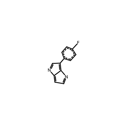 Fc1ccc(C2=C3N=CC=C3N=C2)cc1